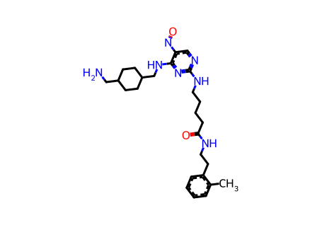 Cc1ccccc1CCNC(=O)CCCCNc1ncc(N=O)c(NCC2CCC(CN)CC2)n1